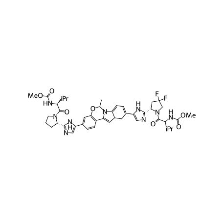 COC(=O)NC(C(=O)N1CC(F)(F)C[C@H]1c1ncc(C2=CC=C3C(C=C4c5ccc(-c6cnc([C@@H]7CCCN7C(=O)[C@@H](NC(=O)OC)C(C)C)[nH]6)cc5OC(C)N43)C2)[nH]1)C(C)C